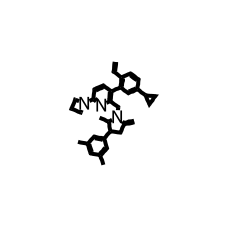 C=Cc1ccc(C2CC2)cc1-c1ccc(N2CCC2)nc1CN1C(=C)CC(c2cc(C)cc(C)c2)C1C